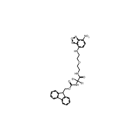 CCC(CC)(NC(=O)OCC1c2ccccc2-c2ccccc21)C(=O)NCCOCCNc1ccc([N+](=O)[O-])c2nonc12